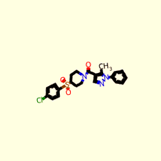 Cc1c(C(=O)N2CCC(S(=O)(=O)c3ccc(Cl)cc3)CC2)cnn1-c1ccccc1